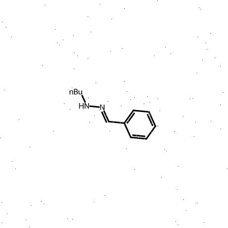 CCCCNN=Cc1cc[c]cc1